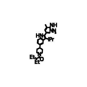 C=Nn1cc(-c2[nH]c3ccc(C4CCN(C(=O)C(CC)CC)CC4)cc3c2C(C)C)cc(C)c1=N